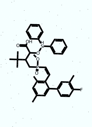 COP(=O)(/C=C\c1c(C)cc(C)cc1-c1ccc(F)c(C)c1)CC(C(O[SiH](c1ccccc1)c1ccccc1)C(=O)O)C(C)(C)C